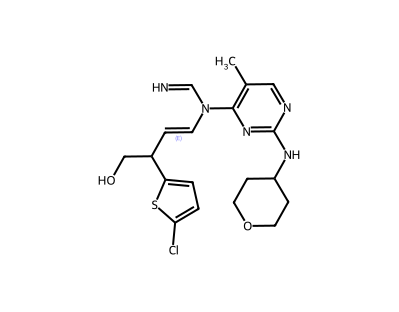 Cc1cnc(NC2CCOCC2)nc1N(C=N)/C=C/C(CO)c1ccc(Cl)s1